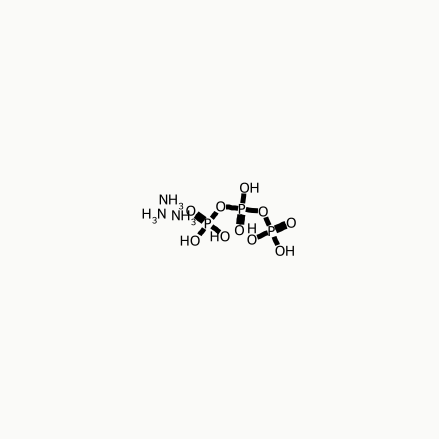 N.N.N.O=P(O)(O)OP(=O)(O)OP(=O)(O)O